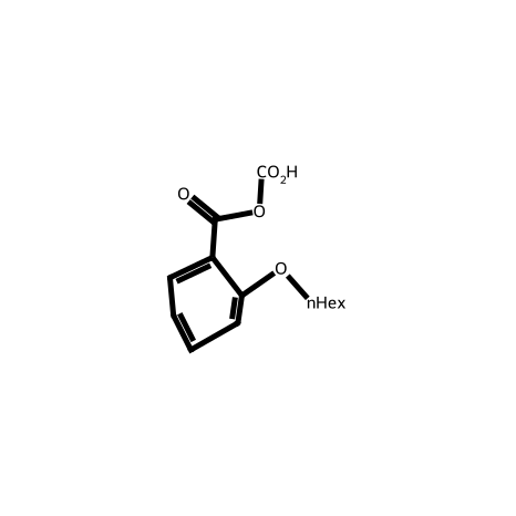 CCCCCCOc1ccccc1C(=O)OC(=O)O